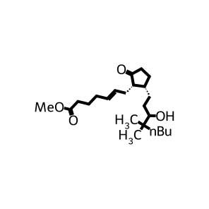 CCCCC(C)(C)C(O)CC[C@H]1CCC(=O)[C@H]1CC=CCCCC(=O)OC